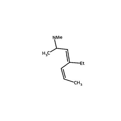 C/C=C\C(=C/C(C)NC)CC